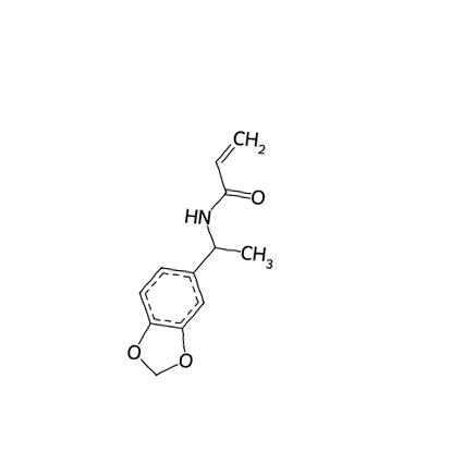 C=CC(=O)NC(C)c1ccc2c(c1)OCO2